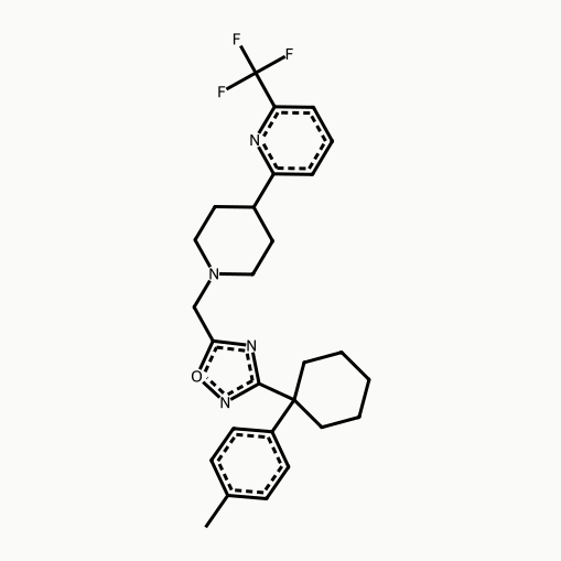 Cc1ccc(C2(c3noc(CN4CCC(c5cccc(C(F)(F)F)n5)CC4)n3)CCCCC2)cc1